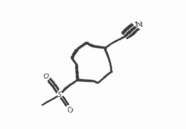 CS(=O)(=O)C1CCC(C#N)CC1